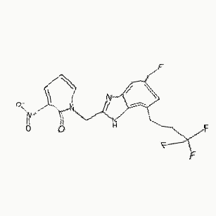 O=c1c([N+](=O)[O-])cccn1Cc1nc2cc(F)cc(CCC(F)(F)F)c2[nH]1